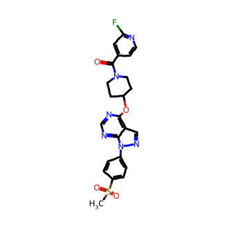 CS(=O)(=O)c1ccc(-n2ncc3c(OC4CCN(C(=O)c5ccnc(F)c5)CC4)ncnc32)cc1